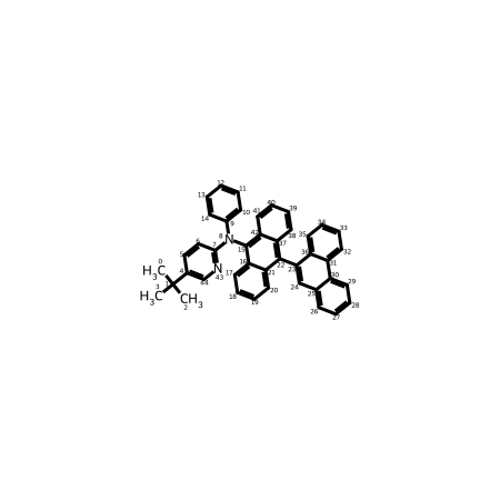 CC(C)(C)c1ccc(N(c2ccccc2)c2c3ccccc3c(-c3cc4ccccc4c4ccccc34)c3ccccc23)nc1